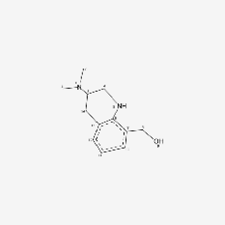 CN(C)C1CNc2c(CO)cccc2C1